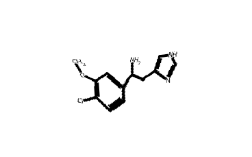 COc1cc(C(N)Cc2c[nH]cn2)ccc1Cl